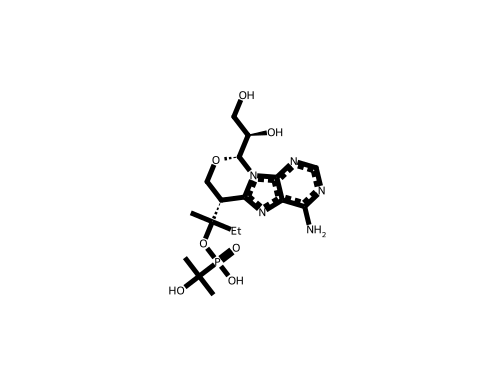 CCC(C)(OP(=O)(O)C(C)(C)O)[C@@H]1CO[C@H]([C@H](O)CO)n2c1nc1c(N)ncnc12